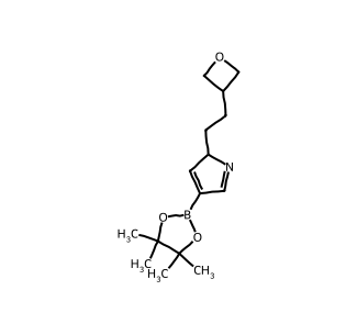 CC1(C)OB(C2=CC(CCC3COC3)N=C2)OC1(C)C